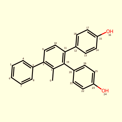 Cc1c(-c2ccccc2)ccc(-c2ccc(O)cc2)c1-c1ccc(O)cc1